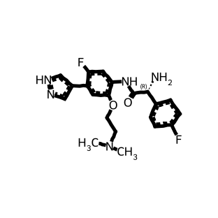 CN(C)CCOc1cc(-c2cn[nH]c2)c(F)cc1NC(=O)[C@H](N)c1ccc(F)cc1